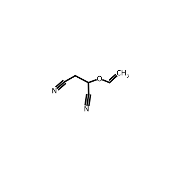 C=COC(C#N)CC#N